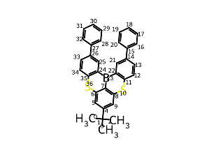 CC(C)(C)c1cc2c3c(c1)Sc1ccc(-c4ccccc4)cc1B3c1cc(-c3ccccc3)ccc1S2